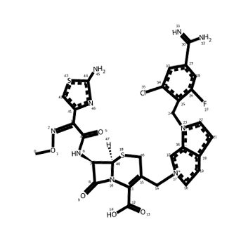 CO/N=C(\C(=O)N[C@@H]1C(=O)N2C(C(=O)O)=C(C[n+]3ccc4ccn(Cc5c(F)cc(C(=N)N)cc5Cl)c4c3)CS[C@H]12)c1csc(N)n1